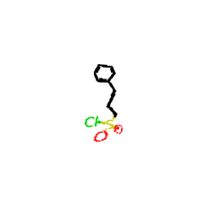 O=S(=O)(Cl)CCCc1ccccc1